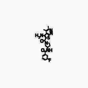 Cc1nnc2sc(C(=O)N3CCC(NC(=O)c4cccc(F)c4)C3)c(N)c2c1C